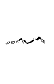 CCCCCCOCCOC=CO